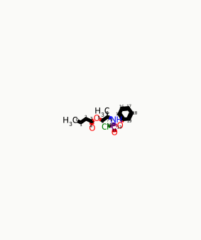 CCCC(=O)OC[C@H](C)NP(=O)(Cl)Oc1ccccc1